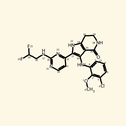 COc1c(Cl)cccc1Nc1c(-c2ccnc(NCC(F)F)n2)[nH]c2c1C(=O)NCC2